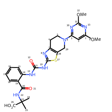 COc1cc(N2CCc3nc(NC(=O)Nc4ccccc4C(=O)NC(C)(C)C(=O)O)sc3C2)nc(OC)n1